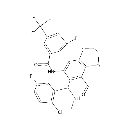 CNC(c1cc(F)ccc1Cl)c1c(NC(=O)c2cc(F)cc(C(F)(F)F)c2)cc2c(c1C=O)OCCO2